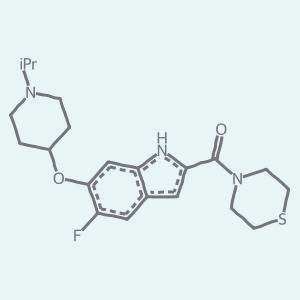 CC(C)N1CCC(Oc2cc3[nH]c(C(=O)N4CCSCC4)cc3cc2F)CC1